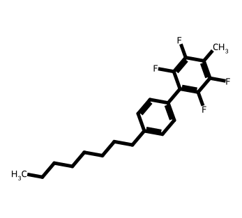 CCCCCCCCc1ccc(-c2c(F)c(F)c(C)c(F)c2F)cc1